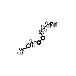 CC(C)(C)OC(=O)CCN1CCC(C(=O)NCc2cccc(-c3cccc(-c4csc(NC(=O)CNC(=O)c5ccn(S(C)(=O)=O)c5)n4)c3)c2)CC1